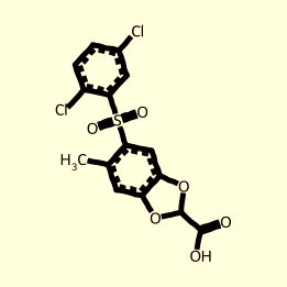 Cc1cc2c(cc1S(=O)(=O)c1cc(Cl)ccc1Cl)OC(C(=O)O)O2